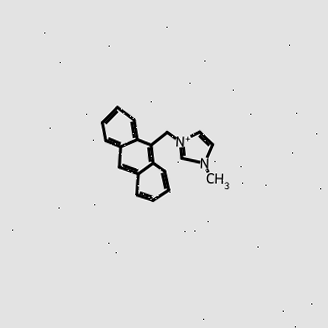 Cn1cc[n+](Cc2c3ccccc3cc3ccccc23)c1